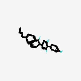 C=CCCc1ccc2c(F)c(-c3cc(F)c(-c4ccc(F)cc4)c(F)c3)ccc2c1